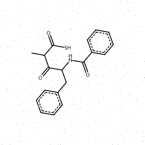 CC(C(=O)S)C(=O)C(Cc1ccccc1)NC(=O)c1ccccc1